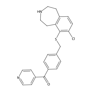 O=C(c1ccncc1)c1ccc(CSc2c(Cl)ccc3c2CCNCC3)cc1